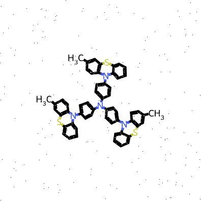 Cc1ccc2c(c1)Sc1ccccc1N2c1ccc(N(c2ccc(N3c4ccccc4Sc4cc(C)ccc43)cc2)c2ccc(N3c4ccccc4Sc4cc(C)ccc43)cc2)cc1